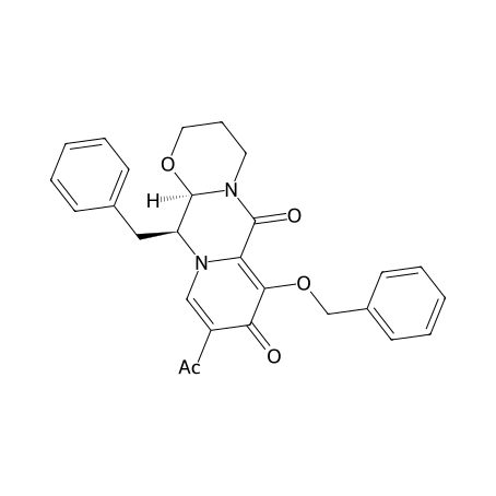 CC(=O)c1cn2c(c(OCc3ccccc3)c1=O)C(=O)N1CCCO[C@@H]1[C@@H]2Cc1ccccc1